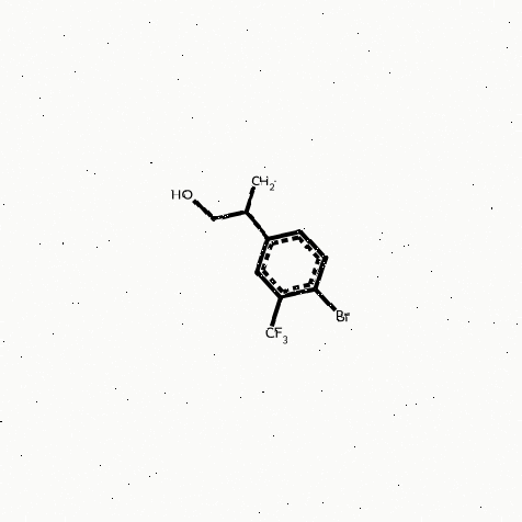 [CH2]C(CO)c1ccc(Br)c(C(F)(F)F)c1